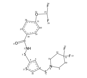 O=C(NSc1cc(SN2CCC(F)(F)CC2)cs1)c1ccc(OC(F)F)cc1